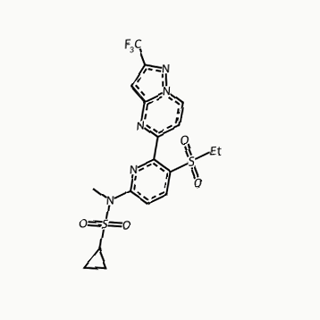 CCS(=O)(=O)c1ccc(N(C)S(=O)(=O)C2CC2)nc1-c1ccn2nc(C(F)(F)F)cc2n1